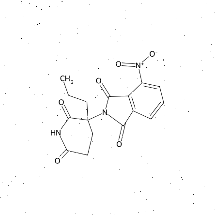 CCCC1(N2C(=O)c3cccc([N+](=O)[O-])c3C2=O)CCC(=O)NC1=O